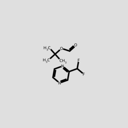 CC(C)(C)OC=O.FC(F)c1cnccn1